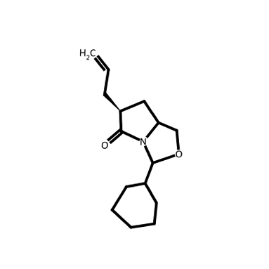 C=CC[C@H]1CC2COC(C3CCCCC3)N2C1=O